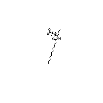 CCCCCCCCCCCC(=O)NC(CCC)[N+](C)(C)C(C)(C)C(=O)[O-]